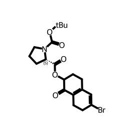 CC(C)(C)OC(=O)N1CCC[C@H]1C(=O)OC1CCC2=C(CCC(Br)=C2)C1=O